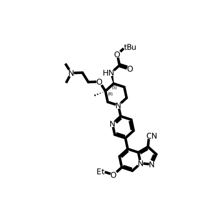 CCOc1cc(-c2ccc(N3CC[C@H](NC(=O)OC(C)(C)C)[C@](C)(OCCN(C)C)C3)nc2)c2c(C#N)cnn2c1